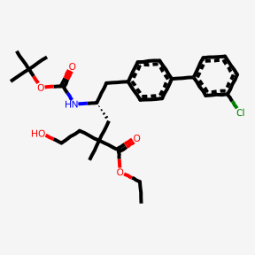 CCOC(=O)C(C)(CCO)C[C@@H](Cc1ccc(-c2cccc(Cl)c2)cc1)NC(=O)OC(C)(C)C